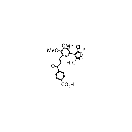 COc1cc(OC)c(-c2c(C)noc2C)cc1C=CC(=O)c1ccc(C(=O)O)cc1